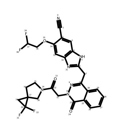 N#Cc1cc2[nH]c(Cc3nn(CC(=O)N4CCC5(C4)CC5(F)F)c(=O)c4ccccc34)nc2cc1OCC(F)F